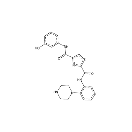 O=C(Nc1cccc(O)c1)c1csc(C(=O)Nc2cnccc2N2CCNCC2)n1